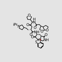 CC(C)N1CCC(CC[C@H](CC(=O)C(NC(=O)CC2COC3OCCC23)C2CCOC2)C(=O)N[C@@H](C[C@@H]2CCNC2=O)C(=O)c2nc3ccccc3s2)C1